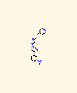 CN(C)c1cccc(-c2cn3nc(NCCc4ccncc4)sc3n2)c1